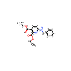 CCOC(=O)c1ccc(NCc2ccccc2)nc1C(=O)OCC